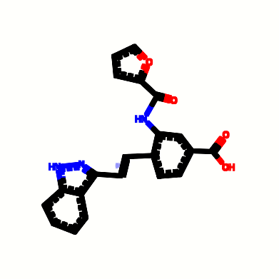 O=C(O)c1ccc(/C=C/c2n[nH]c3ccccc23)c(NC(=O)c2ccco2)c1